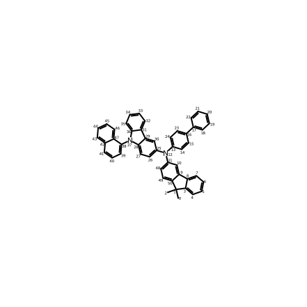 CC1(C)c2ccccc2-c2cc(N(c3ccc(-c4ccccc4)cc3)c3ccc4c(c3)c3ccccc3n4-c3cccc4ccccc34)ccc21